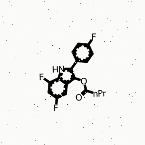 CCCC(=O)Oc1c(-c2ccc(F)cc2)[nH]c2c(F)cc(F)cc12